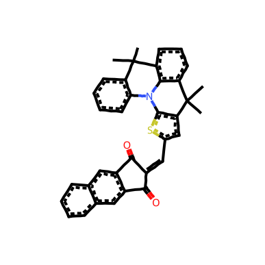 CC1(C)c2ccccc2N2c3sc(C=C4C(=O)c5cc6ccccc6cc5C4=O)cc3C(C)(C)c3cccc1c32